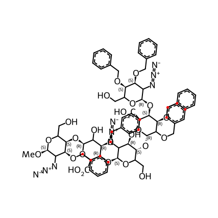 CO[C@H]1OC(CO)[C@@H](O[C@@H]2OC(C(=O)O)[C@H](O[C@@H]3OC(CO)[C@@H](O[C@@H]4OC(C(=O)O)[C@@H](O[C@H]5OC(CO)[C@@H](OCc6ccccc6)[C@@H](OCc6ccccc6)C5N=[N+]=[N-])[C@@H](OCc5ccccc5)C4OCc4ccccc4)[C@H](O)C3N=[N+]=[N-])[C@H](OCc3ccccc3)C2O)[C@@H](OCc2ccccc2)C1N=[N+]=[N-]